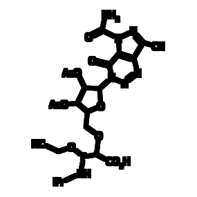 CC(=O)OC1C(COC(C(=O)O)P(NC(C)C)OCC#N)OC(n2nnc3c(C#N)nn(C(N)=O)c3c2=O)C1OC(C)=O